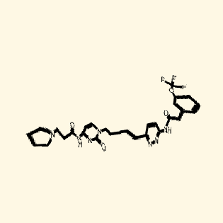 O=C(Cc1cccc(OC(F)(F)F)c1)Nc1ccc(CCCCn2ccc(NC(=O)CCN3CCCC3)nc2=O)nn1